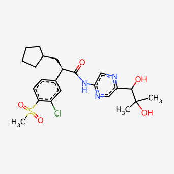 CC(C)(O)C(O)c1cnc(NC(=O)[C@H](CC2CCCC2)c2ccc(S(C)(=O)=O)c(Cl)c2)cn1